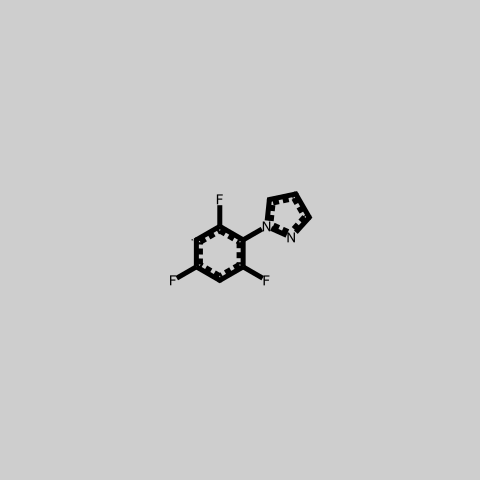 Fc1[c]c(F)c(-n2cccn2)c(F)c1